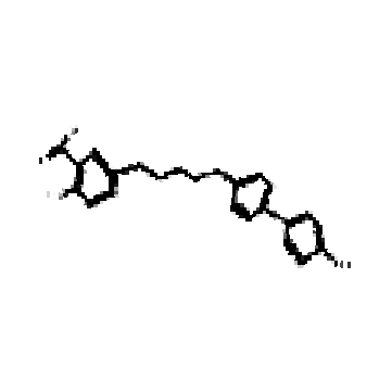 O=C(O)c1cc(CCCCCc2ccc(-c3ccc(O)cc3)cc2)ccc1O